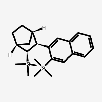 C[Si](C)(C)c1cc2ccccc2cc1[C@@H]1[C@H]2CC[C@H](C2)[C@@H]1[Si](C)(C)C